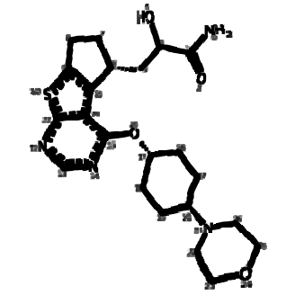 NC(=O)C(O)C[C@H]1CCc2sc3ncnc(O[C@H]4CC[C@H](N5CCOCC5)CC4)c3c21